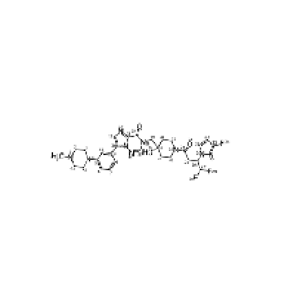 CN1CCN(c2cccc(-c3cnc4c(=O)n(CC5(O)CCN(C(=O)CC(C(F)F)n6ccc(F)n6)CC5)cnn34)c2)CC1